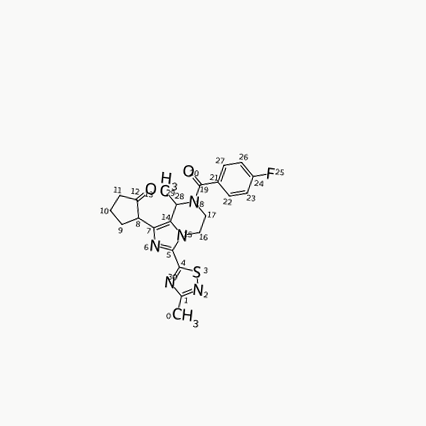 Cc1nsc(-c2nc(C3CCCC3=O)c3n2CCN(C(=O)c2ccc(F)cc2)C3C)n1